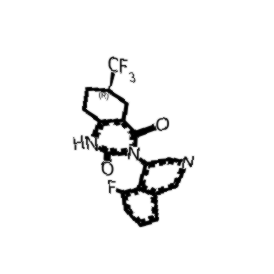 O=c1[nH]c2c(c(=O)n1-c1cncc3cccc(F)c13)C[C@H](C(F)(F)F)CC2